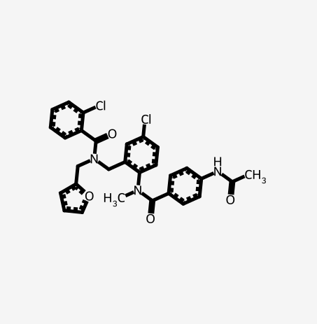 CC(=O)Nc1ccc(C(=O)N(C)c2ccc(Cl)cc2CN(Cc2ccco2)C(=O)c2ccccc2Cl)cc1